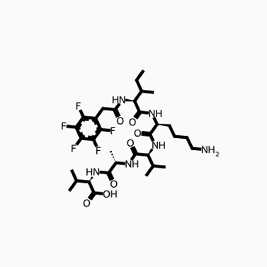 CCC(C)[C@H](NC(=O)Cc1c(F)c(F)c(F)c(F)c1F)C(=O)N[C@@H](CCCCN)C(=O)N[C@H](C(=O)N[C@@H](C)C(=O)N[C@H](C(=O)O)C(C)C)C(C)C